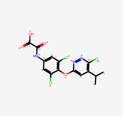 CC(C)c1cc(Oc2c(Cl)cc(NC(=O)C(=O)O)cc2Cl)nnc1Cl